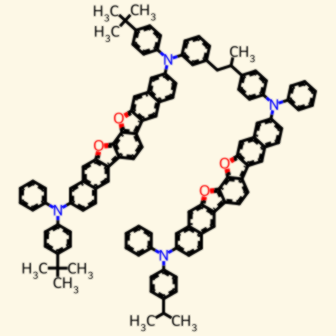 CC(C)c1ccc(N(c2ccccc2)c2ccc3cc4c(cc3c2)oc2c4ccc3c4cc5ccc(N(c6ccccc6)c6ccc(C(C)Cc7cccc(N(c8ccc(C(C)(C)C)cc8)c8ccc9cc%10c(cc9c8)oc8c%10ccc9c%10cc%11ccc(N(c%12ccccc%12)c%12ccc(C(C)(C)C)cc%12)cc%11cc%10oc98)c7)cc6)cc5cc4oc32)cc1